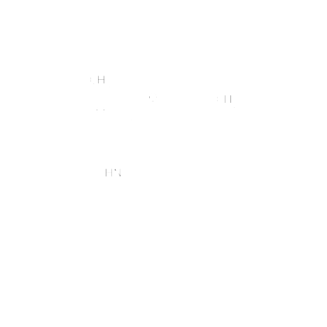 C=CCc1c(C(=O)OC)[nH]c2ccccc12